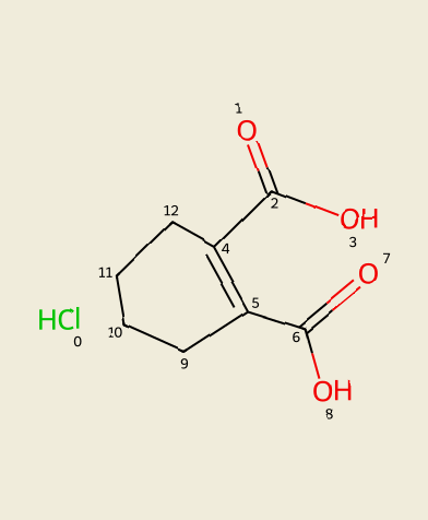 Cl.O=C(O)C1=C(C(=O)O)CCCC1